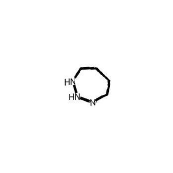 C1CCNN[N]C1